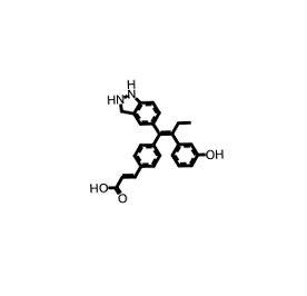 CC/C(=C(/c1ccc(/C=C/C(=O)O)cc1)c1ccc2c(c1)CNN2)c1cccc(O)c1